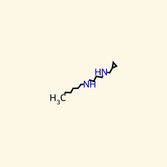 CCCCCCNCCCCNCC1CC1